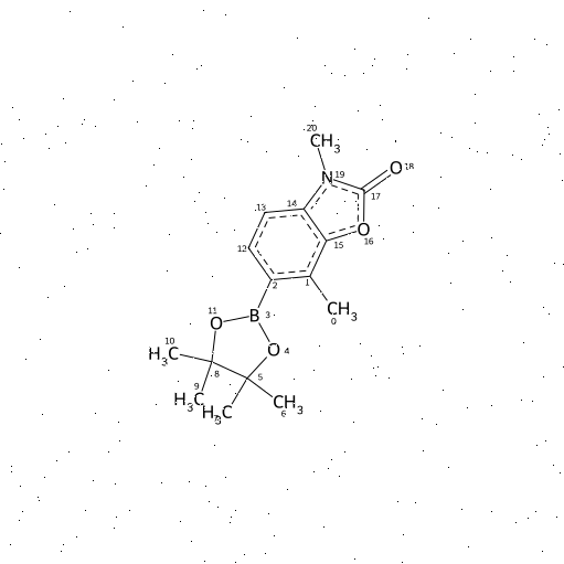 Cc1c(B2OC(C)(C)C(C)(C)O2)ccc2c1oc(=O)n2C